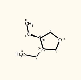 CC[C@H]1COC[C@@H]1OC